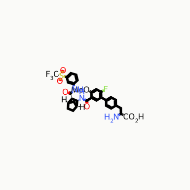 COc1cc(F)c(-c2ccc(CC(N)C(=O)O)cc2)cc1C(=O)N[C@@H]1[C@H]2CC[C@H](C2)[C@@H]1C(=O)Nc1cccc(S(=O)(=O)C(F)(F)F)c1